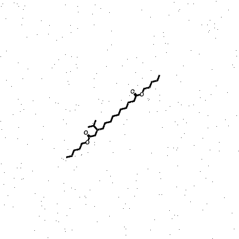 CCCCCOC(=O)CCCCCCCCCC(CC(=O)OCCCCC)C(C)C